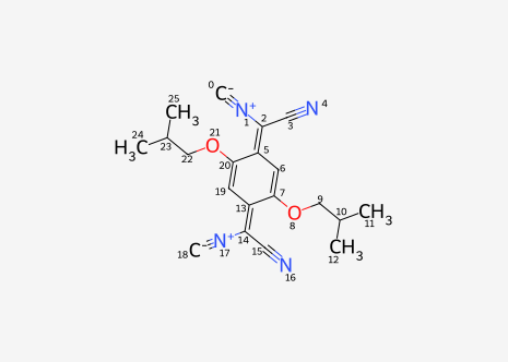 [C-]#[N+]/C(C#N)=c1/cc(OCC(C)C)/c(=C(\C#N)[N+]#[C-])cc1OCC(C)C